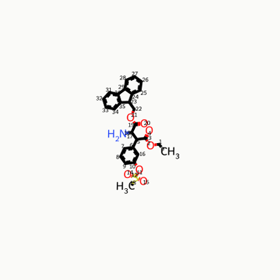 CCOC(=O)C(c1cccc(OS(C)(=O)=O)c1)C(N)C(=O)OCC1c2ccccc2-c2ccccc21